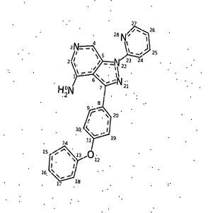 Nc1cncc2c1c(-c1ccc(Oc3ccccc3)cc1)nn2-c1ccccn1